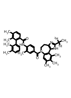 [2H]C([2H])(C)c1nc2c([nH]1)-c1c(cc(C)c(C)c1C)N(C(=O)c1ccc(NC(=O)c3ccc(C)c(C)c3-c3cccc(C)c3C)c(C)c1)CC2